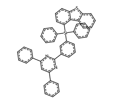 c1ccc(-c2cc(-c3ccccc3)nc(-c3cccc([Si](c4ccccc4)(c4ccccc4)c4cccc5sc6ccccc6c45)c3)n2)cc1